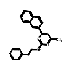 ClC(Cl)(Cl)c1nc(NCCc2ccncc2)nc(-c2ccc3ccccc3c2)n1